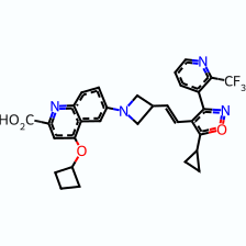 O=C(O)c1cc(OC2CCC2)c2cc(N3CC(C=Cc4c(-c5cccnc5C(F)(F)F)noc4C4CC4)C3)ccc2n1